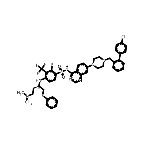 CN(C)CC[C@H](CSc1ccccc1)Nc1ccc(S(=O)(=O)Nc2ncnc3cc(N4CCN(Cc5ccccc5-c5ccc(Cl)cc5)CC4)ccc23)c(F)c1C(F)(F)F